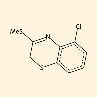 CSC1=Nc2c(Cl)cccc2SC1